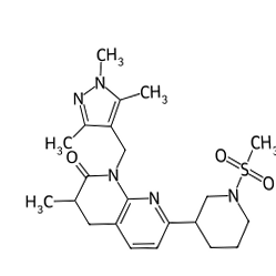 Cc1nn(C)c(C)c1CN1C(=O)C(C)Cc2ccc(C3CCCN(S(C)(=O)=O)C3)nc21